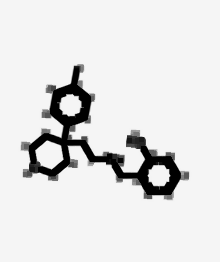 Cc1ccc(C2(CCNCc3ccccc3O)CCOCC2)cc1